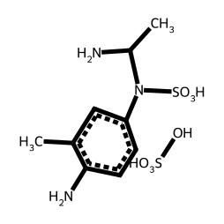 Cc1cc(N(C(C)N)S(=O)(=O)O)ccc1N.O=S(=O)(O)O